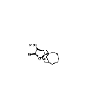 COc1cc2c(cc1Br)CC1CCCCCC2(C)C1NC(C)=O